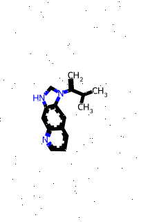 C=C(C(C)C)N1CNc2cc3ncccc3cc21